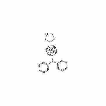 C1CCOC1.c1ccc(P(c2ccccc2)[C]23[CH]4[CH]5[CH]6[CH]2[Fe]56432789[CH]3[CH]2[CH]7[CH]8[CH]39)cc1